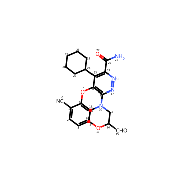 N#Cc1ccccc1Oc1c(N2CCOC(C=O)C2)nnc(C(N)=O)c1C1CCCCC1